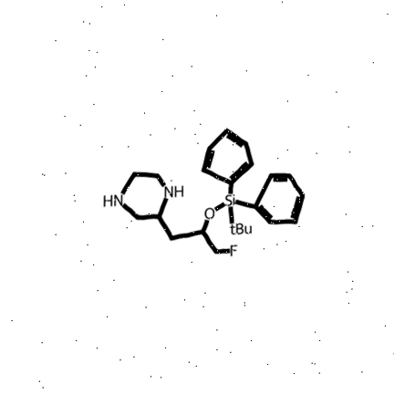 CC(C)(C)[Si](OC(CF)CC1CNCCN1)(c1ccccc1)c1ccccc1